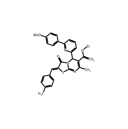 C=C(OCC)C1=C(C)N=c2s/c(=C\c3ccc(C)cc3)c(=O)n2C1c1cccc(-c2ccc(OC)cc2)n1